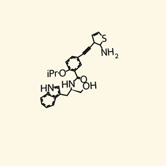 CC(C)Oc1ccc(C#CC2C=CSC2N)cc1C(=O)N[C@@H](CO)Cc1c[nH]c2ccccc12